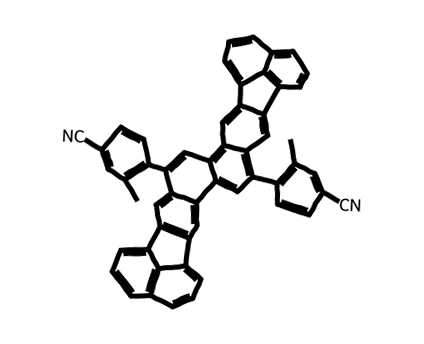 Cc1cc(C#N)ccc1-c1cc2c3cc4c(cc3c(-c3ccc(C#N)cc3C)cc2c2cc3c(cc12)-c1cccc2cccc-3c12)-c1cccc2cccc-4c12